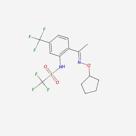 C/C(=N\OC1CCCC1)c1ccc(C(F)(F)F)cc1NS(=O)(=O)C(F)(F)F